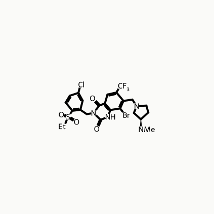 CCS(=O)(=O)c1ccc(Cl)cc1Cn1c(=O)[nH]c2c(Br)c(CN3CC[C@@H](NC)C3)c(C(F)(F)F)cc2c1=O